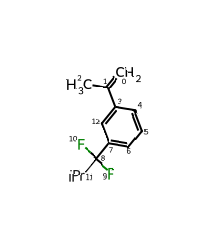 C=C(C)c1cccc(C(F)(F)C(C)C)c1